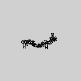 N#Cc1ccc(OC2CCC(NC(=O)c3ccc(N4CCC(CN5CCN(c6cc7c(cc6F)C(=O)N(C6CCC(=O)NC6=O)C7)CC5)CC4)nn3)CC2)c2cccnc12